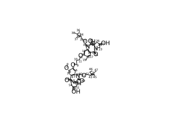 COc1cc2c(cc1OCCCOc1cc3c(cc1C)C(=O)N1C[C@H](O)C[C@H]1C(=O)N3COCC[Si](C)(C)C)N(COCC[Si](C)(C)C)C(=O)[C@@H]1C[C@@H](O)CN1C2=O